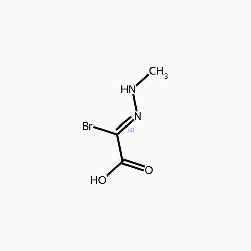 CN/N=C(\Br)C(=O)O